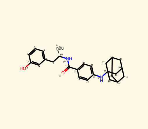 CCCC[C@@H](Cc1cccc(O)c1)NC(=O)c1ccc(NC23CC4CC(CC(C4)C2)C3)cc1